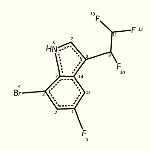 Fc1cc(Br)c2[nH]cc(C(F)C(F)F)c2c1